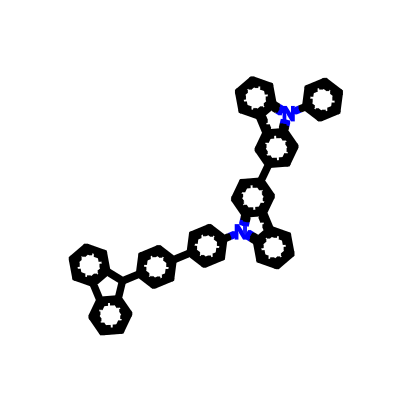 c1ccc(-n2c3ccccc3c3cc(-c4ccc5c(c4)c4ccccc4n5-c4ccc(-c5ccc(C6c7ccccc7-c7ccccc76)cc5)cc4)ccc32)cc1